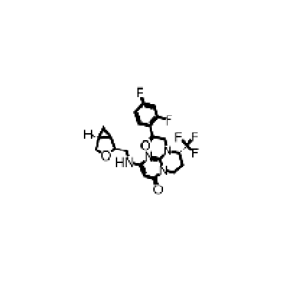 O=C(CN1c2nc(NC[C@H]3OC[C@H]4CC43)cc(=O)n2CC[C@H]1C(F)(F)F)c1ccc(F)cc1F